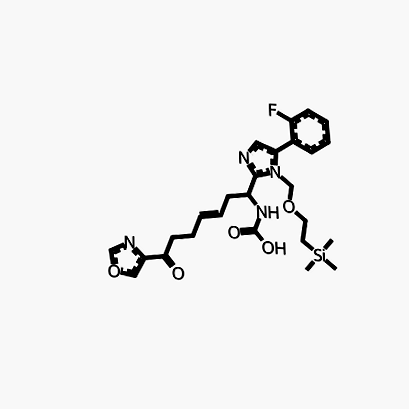 C[Si](C)(C)CCOCn1c(-c2ccccc2F)cnc1C(CC=CCCC(=O)c1cocn1)NC(=O)O